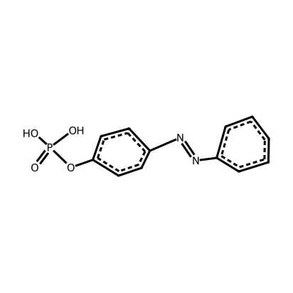 O=P(O)(O)Oc1ccc(N=Nc2ccccc2)cc1